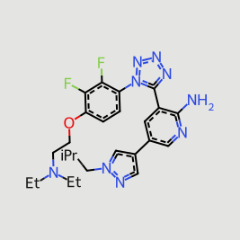 CCN(CC)CCOc1ccc(-n2nnnc2-c2cc(-c3cnn(CC(C)C)c3)cnc2N)c(F)c1F